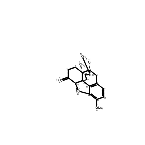 C=C1CC[C@@]2(C)[C@H]3Cc4ccc(OC)c5c4[C@@]2(CCN3C)[C@H]1O5